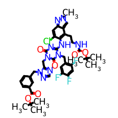 Cn1cc2c(CCNC(=O)OC(C)(C)C)c(Nc3nc(=O)n(Cc4ncnn4Cc4cccc(C(=O)OC(C)(C)C)c4)c(=O)n3Cc3cc(F)c(F)cc3F)c(Cl)cc2n1